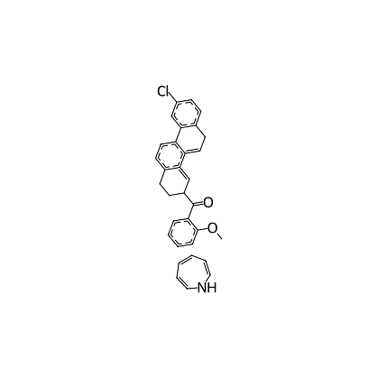 C1=CC=CNC=C1.COc1ccccc1C(=O)C1C=c2c(ccc3c2=CCc2ccc(Cl)cc2-3)CC1